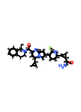 C[C@@H]1c2ccccc2CCN1C(=O)c1cc(C2CC2)n2cc(-c3ccc(C4CC4C(N)=O)nc3F)cc2n1